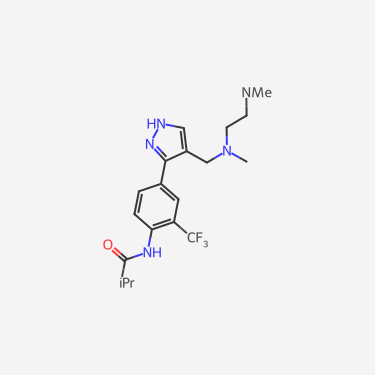 CNCCN(C)Cc1c[nH]nc1-c1ccc(NC(=O)C(C)C)c(C(F)(F)F)c1